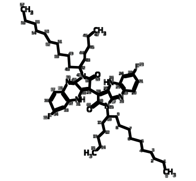 CCCCCCCCCCC(CCCCC)n1c2nc3ccc(F)cc3[nH]c-2c(-c2c3[nH]c4cc(F)ccc4nc-3n(C(CCCCC)CCCCCCCCCC)c2=O)c1=O